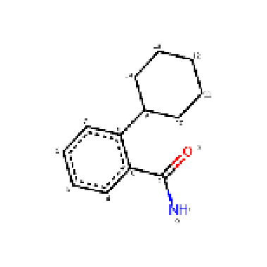 [NH]C(=O)c1ccccc1C1CCCCC1